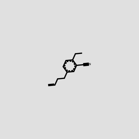 C=CCCc1ccc(CC)c(C#N)c1